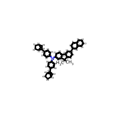 CC1(C)c2ccc(-c3ccc4ccccc4c3)cc2-c2ccc(N(c3ccc(C4CC5CCC4C5)cc3)c3ccc(C4CC5CCC4C5)cc3)cc21